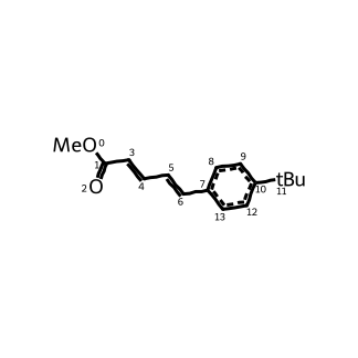 COC(=O)C=CC=Cc1ccc(C(C)(C)C)cc1